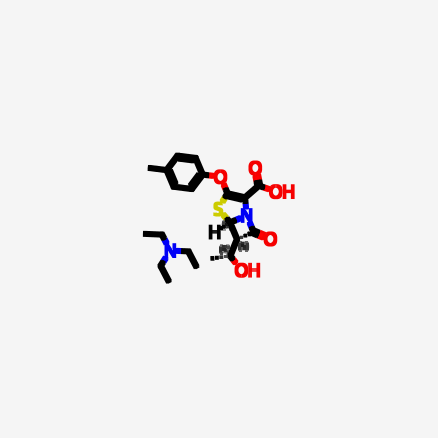 CCN(CC)CC.Cc1ccc(OC2=C(C(=O)O)N3C(=O)[C@H]([C@@H](C)O)[C@H]3S2)cc1